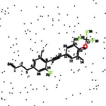 C=CCCc1cc(C)c(C#Cc2cc(C)c(OC(F)(F)F)c(C)c2)c(F)c1